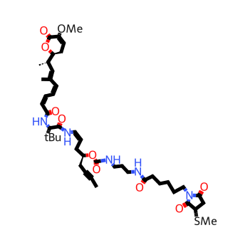 CC#CC[C@@H](C/C=C\NC(=O)C(NC(=O)\C=C/C=C\C(C)=C\[C@H](C)[C@@H]1CC=C(OC)C(=O)O1)C(C)(C)C)OC(=O)NCCCNC(=O)CCCCCN1C(=O)CC(SC)C1=O